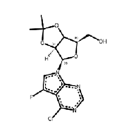 CC1(C)OC2[C@@H](CO)O[C@@H](n3cc(F)c4c(Cl)ncnc43)[C@H]2O1